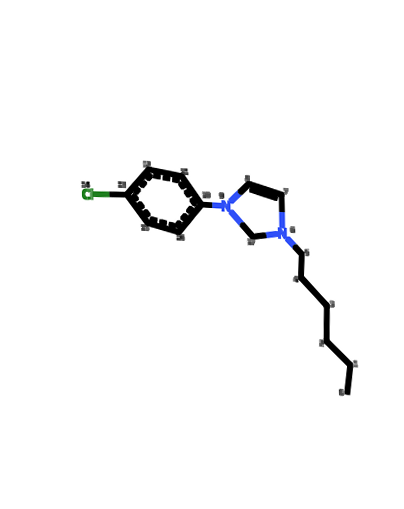 CCCCCCN1C=CN(c2ccc(Cl)cc2)C1